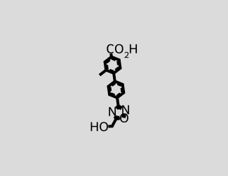 Cc1cc(C(=O)O)ccc1-c1ccc(-c2noc(CO)n2)cc1